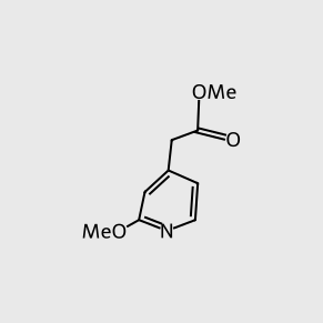 COC(=O)Cc1ccnc(OC)c1